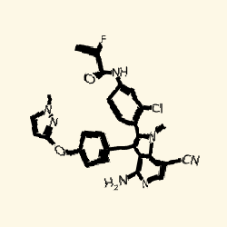 C=C(F)C(=O)Nc1ccc(-c2c(-c3ccc(Oc4ccn(C)n4)cc3)c3c(N)ncc(C#N)c3n2C)c(Cl)c1